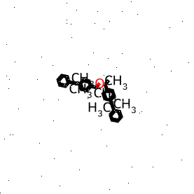 CC(OC(C)c1ccc(C(C)(C)c2ccccc2)cc1)c1ccc(C(C)(C)c2ccccc2)cc1